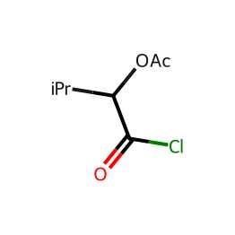 CC(=O)OC(C(=O)Cl)C(C)C